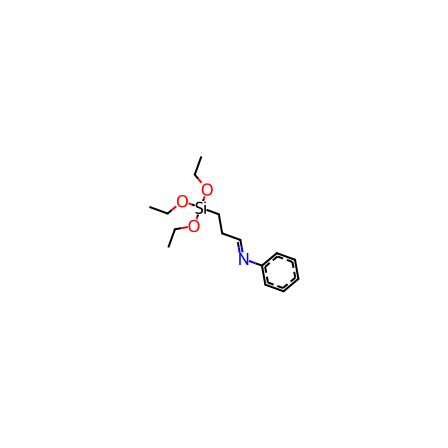 CCO[Si](CC/C=N/c1ccccc1)(OCC)OCC